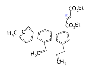 C.C=CCc1ccccc1.C=Cc1ccccc1.CCOC(=O)/C=C/C(=O)OCC.c1ccccc1